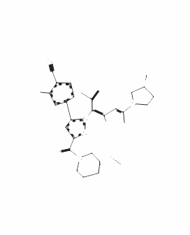 C=C(F)/C(=C(F)\C=C(/C)N1CC[C@H](C)C1)n1nc(C(=O)N2CCC[C@@H](NC)C2)cc1-c1ccc(C#N)c(F)c1